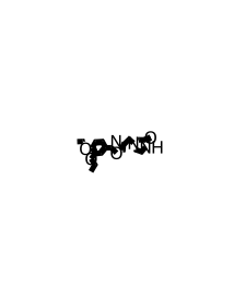 CCOc1ccc(-c2nc(CN3CCNC(=O)C3)co2)cc1OCC